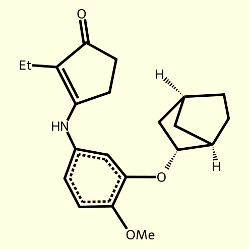 CCC1=C(Nc2ccc(OC)c(O[C@@H]3C[C@H]4CC[C@@H]3C4)c2)CCC1=O